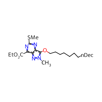 CCCCCCCCCCCCCCCCCOc1c2nc(SC)nc(C(=O)OCC)c2nn1C